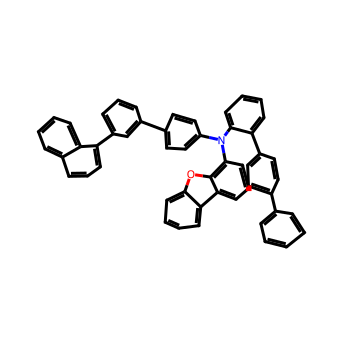 c1ccc(-c2ccc(-c3ccccc3N(c3ccc(-c4cccc(-c5cccc6ccccc56)c4)cc3)c3cccc4c3oc3ccccc34)cc2)cc1